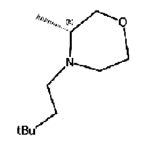 C[C@@H]1COCCN1CCC(C)(C)C